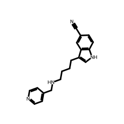 N#Cc1ccc2[nH]cc(CCCCNCc3ccncc3)c2c1